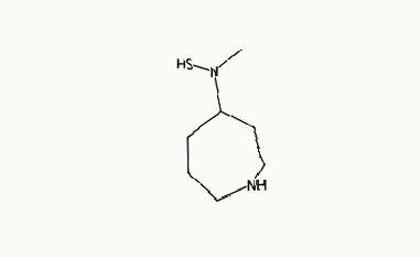 CN(S)C1CCCNCC1